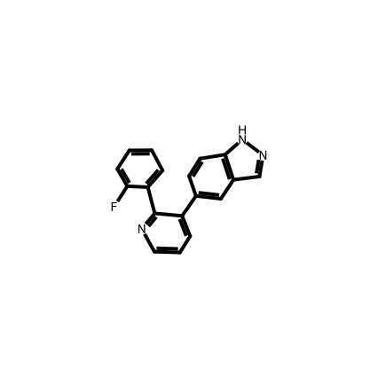 Fc1ccccc1-c1ncccc1-c1ccc2[nH]ncc2c1